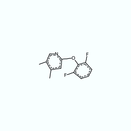 Cc1cnc(Oc2c(F)cccc2F)cc1C